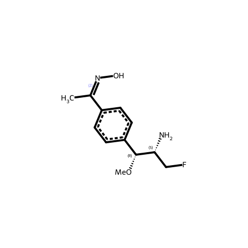 CO[C@H](c1ccc(/C(C)=N\O)cc1)[C@H](N)CF